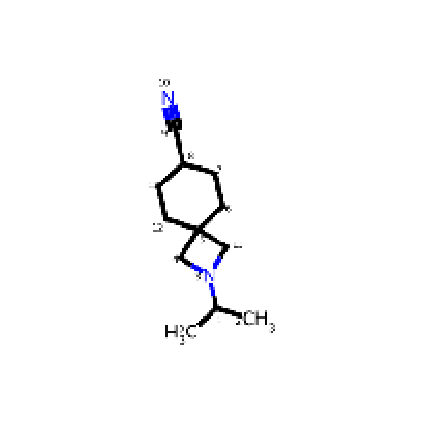 CC(C)N1CC2(CCC(C#N)CC2)C1